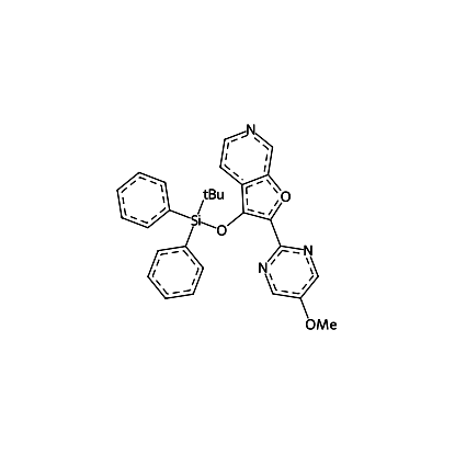 COc1cnc(-c2oc3cnccc3c2O[Si](c2ccccc2)(c2ccccc2)C(C)(C)C)nc1